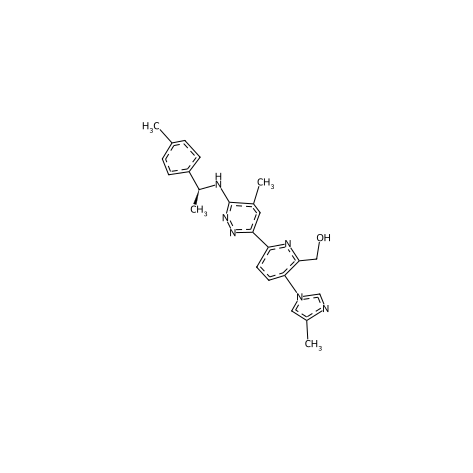 Cc1ccc([C@H](C)Nc2nnc(-c3ccc(-n4cnc(C)c4)c(CO)n3)cc2C)cc1